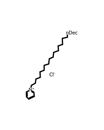 CCCCCCCCCCCCCCCCCCCCCCCCCC[n+]1ccccc1.[Cl-]